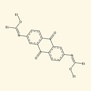 CCOC(CC)=Nc1ccc2c(c1)C(=O)c1ccc(N=C(CC)OCC)cc1C2=O